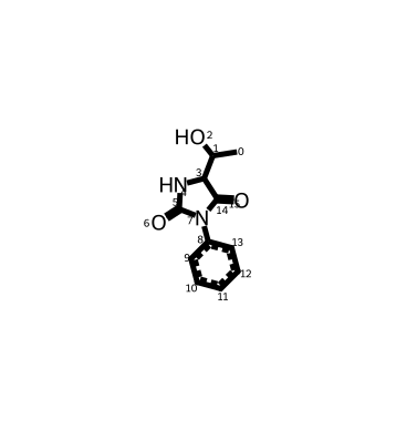 CC(O)C1NC(=O)N(c2ccccc2)C1=O